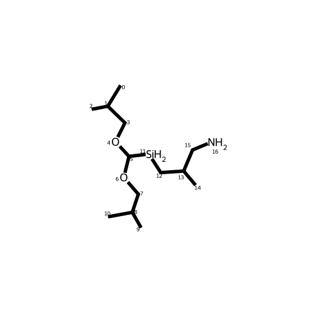 CC(C)COC(OCC(C)C)[SiH2]CC(C)CN